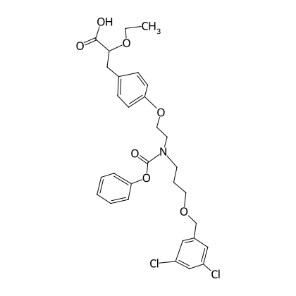 CCOC(Cc1ccc(OCCN(CCCOCc2cc(Cl)cc(Cl)c2)C(=O)Oc2ccccc2)cc1)C(=O)O